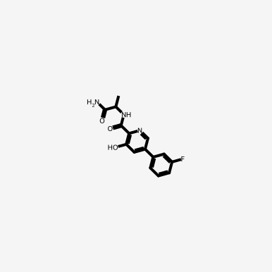 CC(NC(=O)c1ncc(-c2cccc(F)c2)cc1O)C(N)=O